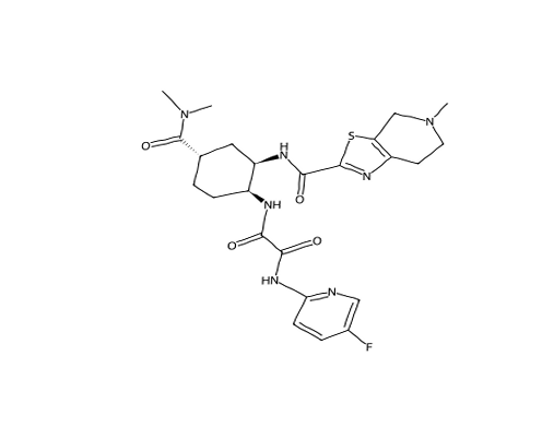 CN1CCc2nc(C(=O)N[C@@H]3C[C@@H](C(=O)N(C)C)CC[C@@H]3NC(=O)C(=O)Nc3ccc(F)cn3)sc2C1